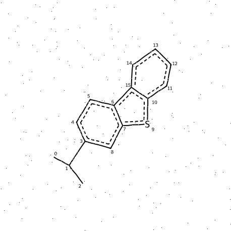 CC(C)c1ccc2c(c1)sc1ccccc12